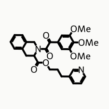 COc1cc(C(=O)C(=O)N2Cc3ccccc3CC2C(=O)OCCCc2cccnc2)cc(OC)c1OC